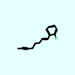 CC#CCCC/C=C/c1ccccc1Cl